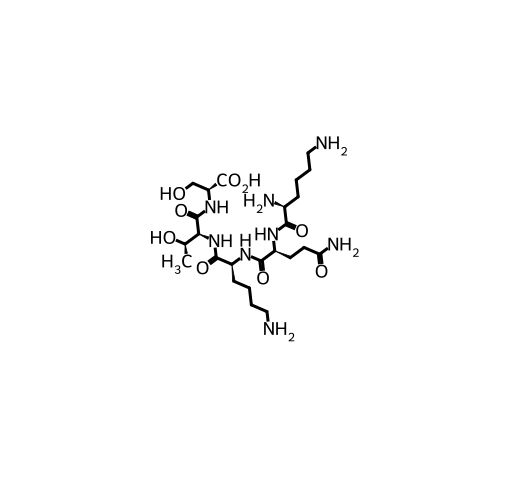 C[C@@H](O)[C@H](NC(=O)[C@H](CCCCN)NC(=O)[C@H](CCC(N)=O)NC(=O)[C@@H](N)CCCCN)C(=O)N[C@@H](CO)C(=O)O